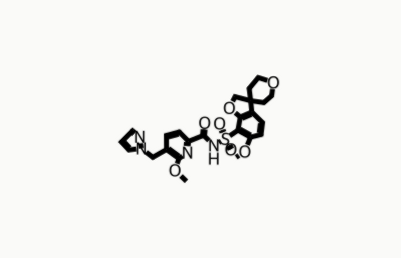 COc1ccc2c(c1S(=O)(=O)NC(=O)c1ccc(Cn3cccn3)c(OC)n1)OCC21CCOCC1